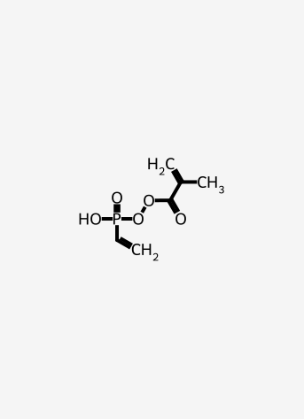 C=CP(=O)(O)OOC(=O)C(=C)C